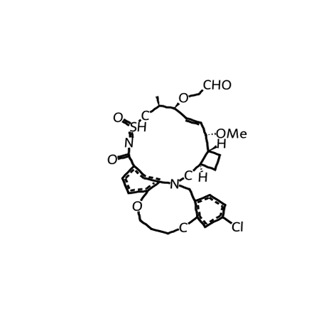 CO[C@H]1/C=C/[C@H](OCC=O)[C@H](C)C/[SH](=O)=N\C(=O)c2ccc3c(c2)N(Cc2ccc(Cl)cc2CCCCO3)C[C@@H]2CC[C@H]21